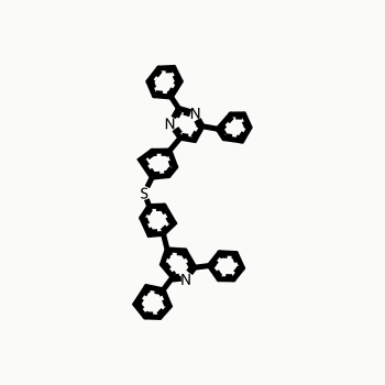 c1ccc(-c2cc(-c3ccc(Sc4ccc(-c5cc(-c6ccccc6)nc(-c6ccccc6)n5)cc4)cc3)cc(-c3ccccc3)n2)cc1